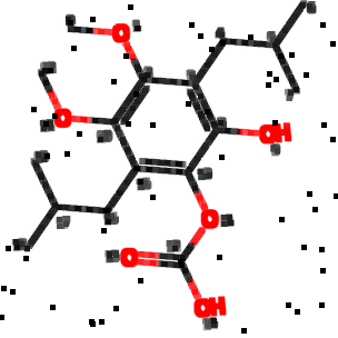 COc1c(CC(C)C)c(O)c(OC(=O)O)c(CC(C)C)c1OC